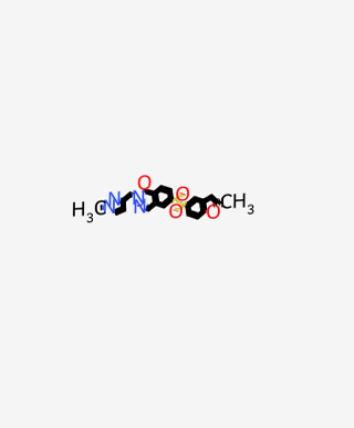 C[C@@H]1Cc2cc(S(=O)(=O)c3ccc4c(=O)n(Cc5ccn(C)n5)ncc4c3)ccc2O1